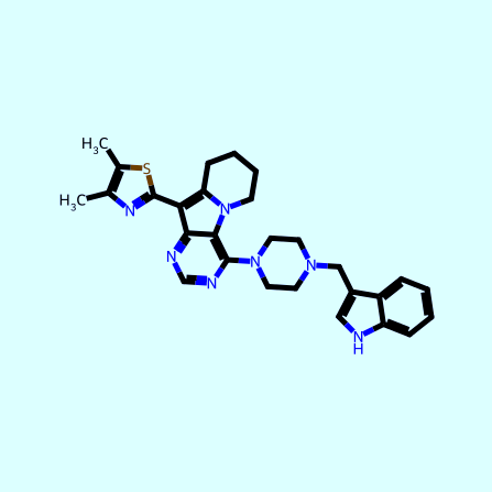 Cc1nc(-c2c3n(c4c(N5CCN(Cc6c[nH]c7ccccc67)CC5)ncnc24)CCCC3)sc1C